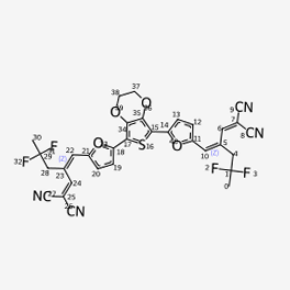 CC(F)(F)C/C(C=C(C#N)C#N)=C/c1ccc(-c2sc(-c3ccc(/C=C(\C=C(C#N)C#N)CC(C)(F)F)o3)c3c2OCCO3)o1